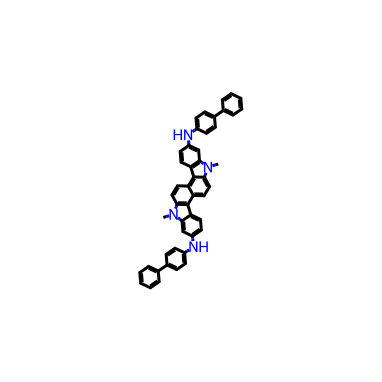 Cn1c2cc(Nc3ccc(-c4ccccc4)cc3)ccc2c2c3ccc4c(c3ccc21)c1ccc(Nc2ccc(-c3ccccc3)cc2)cc1n4C